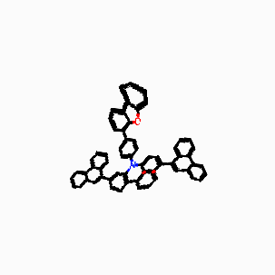 c1ccc(-c2ccc(-c3cc4ccccc4c4ccccc34)cc2N(c2ccc(-c3cc4ccccc4c4ccccc34)cc2)c2ccc(-c3cccc4c3oc3ccccc34)cc2)cc1